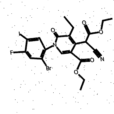 CCOC(=O)c1cn(-c2cc(I)c(F)cc2Br)c(=O)c(CC)c1C(C#N)C(=O)OCC